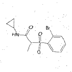 CC(C(=O)NC1CC1)S(=O)(=O)c1ccccc1Br